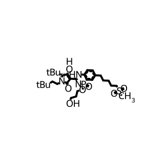 CC(C)(C)CCN1C(=O)C(C2=NP(=O)(OCCCO)c3cc(CCCCCS(C)(=O)=O)ccc3N2)=C(O)[C@@H]1C(C)(C)C